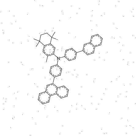 Cc1cc2c(cc1N(c1ccc(-c3ccc4ccccc4c3)cc1)c1ccc(-c3cc4ccccc4c4ccccc34)cc1)C(C)(C)CCC2(C)C